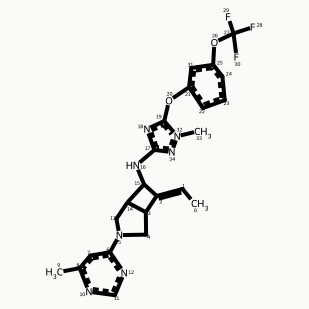 C/C=C1\C2CN(c3cc(C)ncn3)CC2C1Nc1nc(Oc2cccc(OC(F)(F)F)c2)n(C)n1